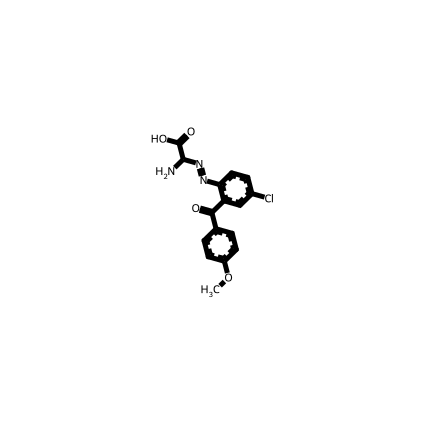 COc1ccc(C(=O)c2cc(Cl)ccc2/N=N/C(N)C(=O)O)cc1